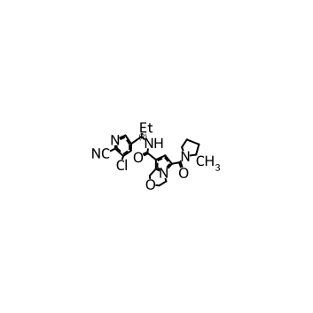 CC[C@@H](NC(=O)c1cc(C(=O)N2CCCC2C)n2c1COCC2)c1cnc(C#N)c(Cl)c1